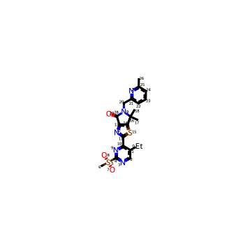 CCc1cnc(S(C)(=O)=O)nc1-c1nc2c(s1)C(C)(C)N(Cc1cccc(C)n1)C2=O